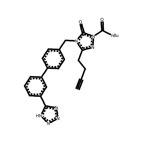 C#CCCc1nn(C(=O)CCCC)c(=O)n1Cc1ccc(-c2cccc(-c3nnn[nH]3)c2)cc1